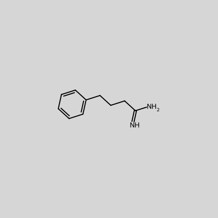 N=C(N)CCCc1ccccc1